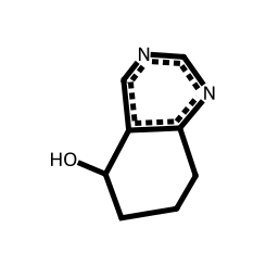 OC1CCCc2ncncc21